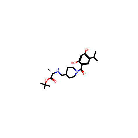 CC(C)c1cc(C(=O)N2CCC(CN[C@@H](C)C(=O)OC(C)(C)C)CC2)c(O)cc1O